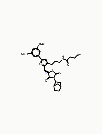 COc1cc(OC)cc(-c2cc(CCCNC(=O)CCC(C)C)c(/C=C3\SC(=S)N(C4CC5CCC4C5)C3=O)o2)c1